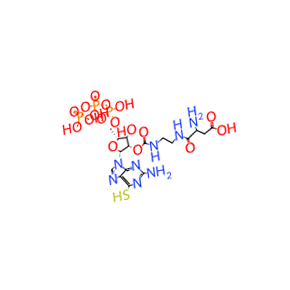 Nc1nc(S)c2ncn([C@@H]3O[C@H](COP(=O)(O)OP(=O)(O)OP(=O)(O)O)C(O)[C@@H]3OC(=O)NCCNC(=O)C(N)CC(=O)O)c2n1